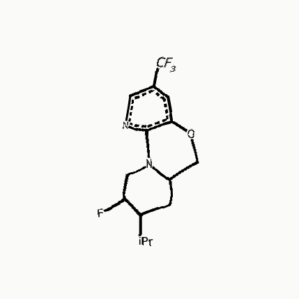 CC(C)C1CC2COc3cc(C(F)(F)F)cnc3N2CC1F